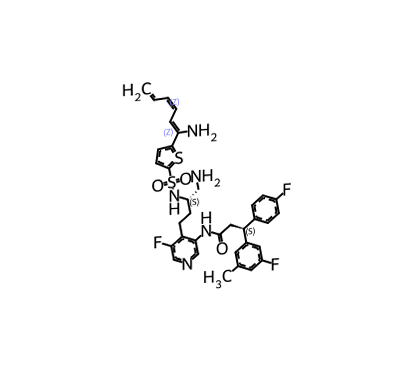 C=C/C=C\C=C(/N)c1ccc(S(=O)(=O)N[C@H](CN)CCc2c(F)cncc2NC(=O)C[C@@H](c2ccc(F)cc2)c2cc(C)cc(F)c2)s1